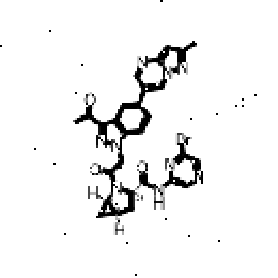 CC(=O)c1nn(CC(=O)N2[C@@H]3C[C@@H]3C[C@H]2C(=O)Nc2cncc(Br)n2)c2ccc(-c3cnc4cc(C)nn4c3)cc12